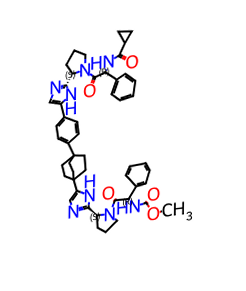 COC(=O)N[C@@H](C(=O)N1CCC[C@H]1c1ncc(C23CCC(c4ccc(-c5cnc([C@@H]6CCCN6C(=O)[C@H](NC(=O)C6CC6)c6ccccc6)[nH]5)cc4)(CC2)CC3)[nH]1)c1ccccc1